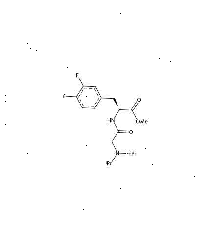 CCCN(CC(=O)N[C@@H](Cc1ccc(F)c(F)c1)C(=O)OC)C(C)C